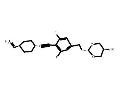 C=C[C@H]1CC[C@H](C#Cc2c(F)cc(CC[C@H]3OC[C@H](CCC)CO3)cc2F)CC1